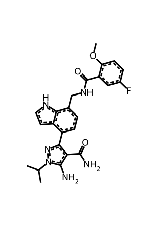 COc1ccc(F)cc1C(=O)NCc1ccc(-c2nn(C(C)C)c(N)c2C(N)=O)c2cc[nH]c12